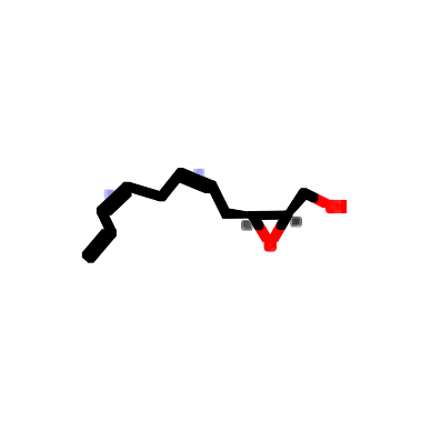 C=C/C=C\C/C=C\C[C@@H]1O[C@@H]1CO